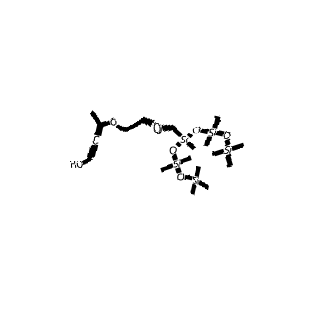 CC(=C=CO)OCCOC[Si](C)(O[Si](C)(C)O[Si](C)(C)C)O[Si](C)(C)O[Si](C)(C)C